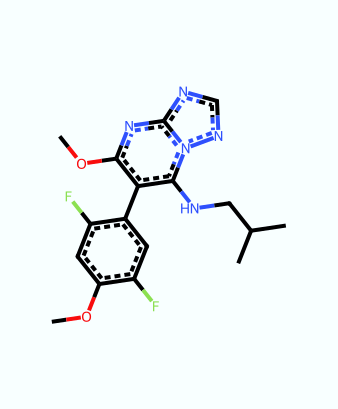 COc1cc(F)c(-c2c(OC)nc3ncnn3c2NCC(C)C)cc1F